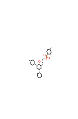 Cc1ccc(-c2cc(-c3ccccc3)cc3c2OC(COS(=O)(=O)c2ccc(C)cc2)C3)cc1